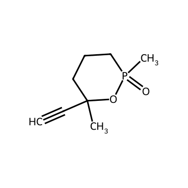 C#CC1(C)CCCP(C)(=O)O1